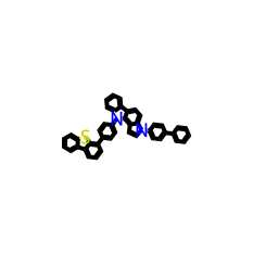 c1ccc(-c2ccc(-n3ccc4c3ccc3c5ccccc5n(-c5ccc(-c6cccc7c6sc6ccccc67)cc5)c34)cc2)cc1